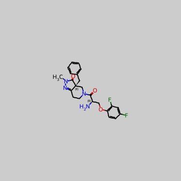 CN1N=C2CCN(C(=O)[C@H](N)COc3ccc(F)cc3F)C[C@@]2(Cc2ccccc2)C1=O